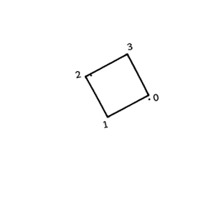 [CH]1C[CH]C1